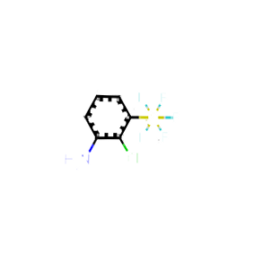 Nc1cccc(S(F)(F)(F)(F)F)c1Cl